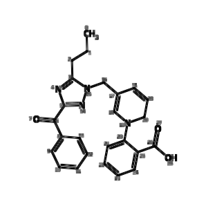 CCCc1nc(C(=O)c2ccccc2)nn1CC1=CN(c2ccccc2C(=O)O)CC=C1